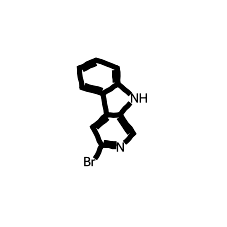 Brc1cc2c(cn1)[nH]c1ccccc12